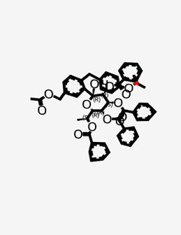 CC(=O)OCc1ccc(Cc2ccc(OC(C)C)cc2)c([C@@]2(O)O[C@H]([C@H](C)OC(=O)c3ccccc3)[C@@H](OC(=O)c3ccccc3)[C@H](OC(=O)c3ccccc3)[C@H]2OC(=O)c2ccccc2)c1